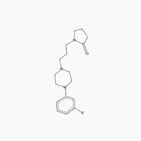 O=C1CCCN1CCCN1CCN(c2cccc(F)c2)CC1